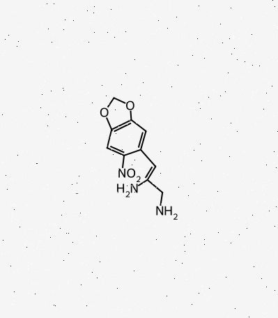 NCC(N)=Cc1cc2c(cc1[N+](=O)[O-])OCO2